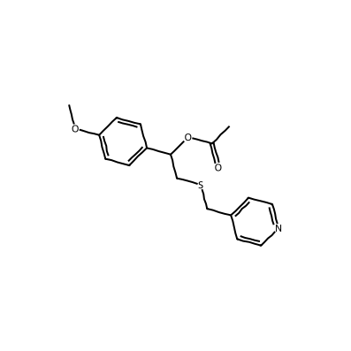 COc1ccc(C(CSCc2ccncc2)OC(C)=O)cc1